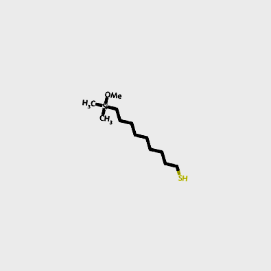 CO[Si](C)(C)CCCCCCCCCS